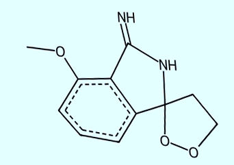 COc1cccc2c1C(=N)NC21CCOO1